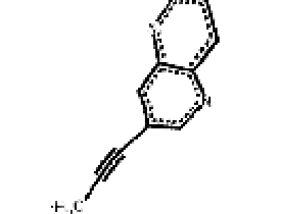 [CH2]C#Cc1cnc2cccnc2c1